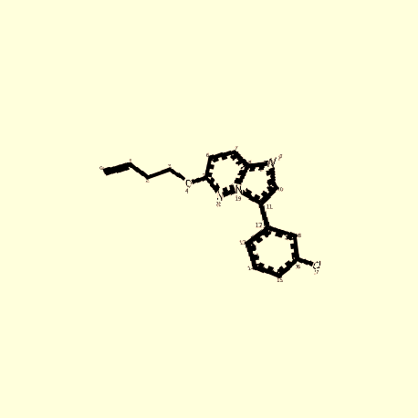 C=CCCOc1ccc2ncc(-c3cccc(Cl)c3)n2n1